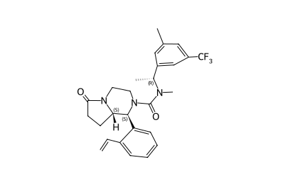 C=Cc1ccccc1[C@H]1[C@@H]2CCC(=O)N2CCN1C(=O)N(C)[C@H](C)c1cc(C)cc(C(F)(F)F)c1